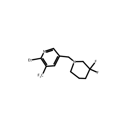 CCc1ncc(CN2CCCC(F)(F)C2)cc1C(F)(F)F